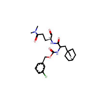 CN(C)C(=O)CC[C@@H](C=O)NC(=O)C(CC12CCC(CC1)CC2)NC(=O)OCc1cccc(Cl)c1